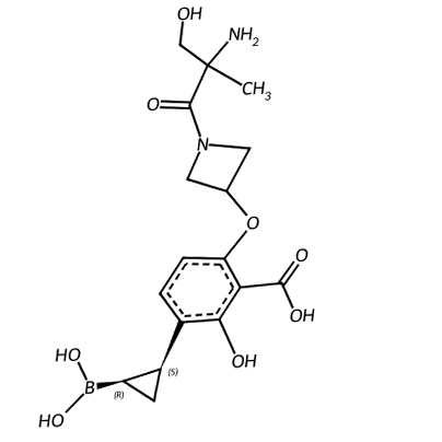 CC(N)(CO)C(=O)N1CC(Oc2ccc([C@H]3C[C@H]3B(O)O)c(O)c2C(=O)O)C1